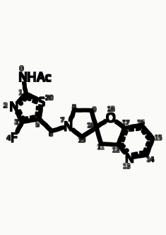 CC(=O)Nc1nc(F)c(CN2CCC3(Cc4ncccc4O3)C2)s1